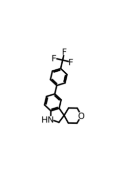 FC(F)(F)c1ccc(-c2ccc3c(c2)C2(CCOCC2)CN3)cc1